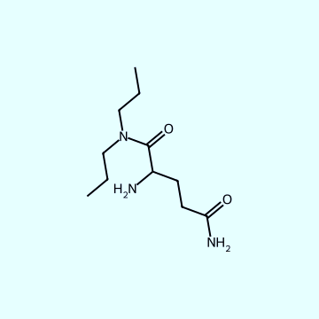 CCCN(CCC)C(=O)C(N)CCC(N)=O